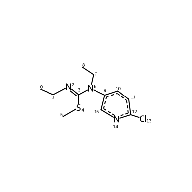 CCN=C(SC)N(CC)c1ccc(Cl)nc1